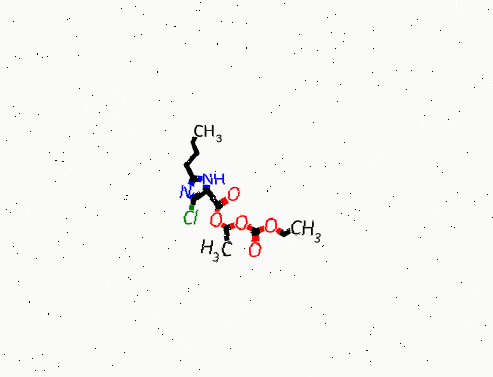 CCCCc1nc(Cl)c(C(=O)OC(C)OC(=O)OCC)[nH]1